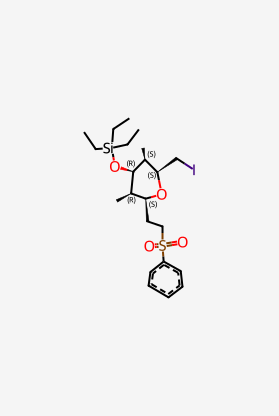 CC[Si](CC)(CC)O[C@H]1[C@@H](C)[C@@H](CI)O[C@@H](CCS(=O)(=O)c2ccccc2)[C@H]1C